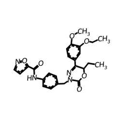 CCOc1cc(C2=NN(Cc3ccc(NC(=O)c4ccno4)cc3)C(=O)OC2CC)ccc1OC